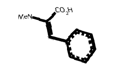 CNC(=Cc1ccccc1)C(=O)O